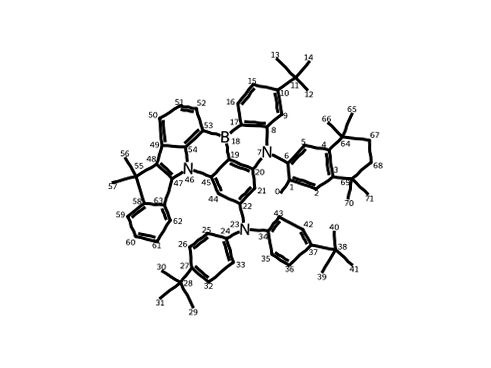 Cc1cc2c(cc1N1c3cc(C(C)(C)C)ccc3B3c4c1cc(N(c1ccc(C(C)(C)C)cc1)c1ccc(C(C)(C)C)cc1)cc4-n1c4c(c5cccc3c51)C(C)(C)c1ccccc1-4)C(C)(C)CCC2(C)C